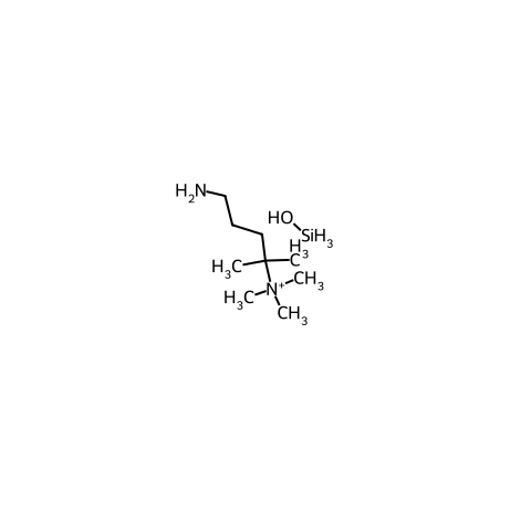 CC(C)(CCCN)[N+](C)(C)C.O[SiH3]